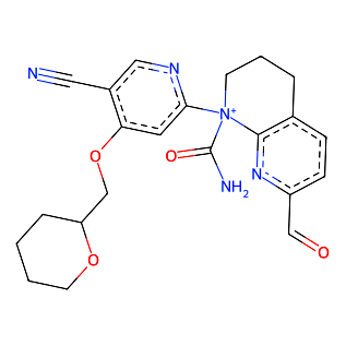 N#Cc1cnc([N+]2(C(N)=O)CCCc3ccc(C=O)nc32)cc1OCC1CCCCO1